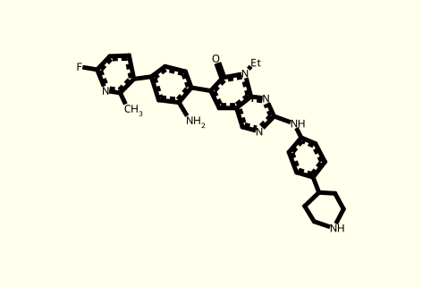 CCn1c(=O)c(-c2ccc(-c3ccc(F)nc3C)cc2N)cc2cnc(Nc3ccc(C4CCNCC4)cc3)nc21